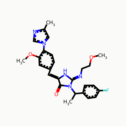 COCC/N=C1\N/C(=C\c2ccc(-n3cnc(C)c3)c(OC)c2)C(=O)N1C(C)c1ccc(F)cc1